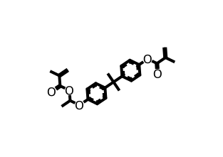 C=C(C)C(=O)Oc1ccc(C(C)(C)c2ccc(OC(C)OC(=O)C(=C)C)cc2)cc1